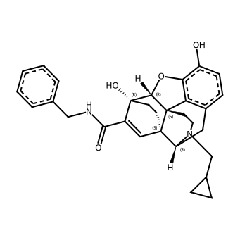 O=C(NCc1ccccc1)C1=C[C@@]23CC[C@]1(O)[C@@H]1Oc4c(O)ccc5c4[C@@]12CCN(CC1CC1)[C@@H]3C5